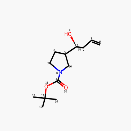 C=CC[C@H](O)C1CCN(C(=O)OC(C)(C)C)C1